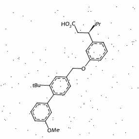 COc1cccc(-c2ccc(COc3cccc([C@@H](CC(=O)O)C(C)C)c3)cc2C(C)(C)C)c1